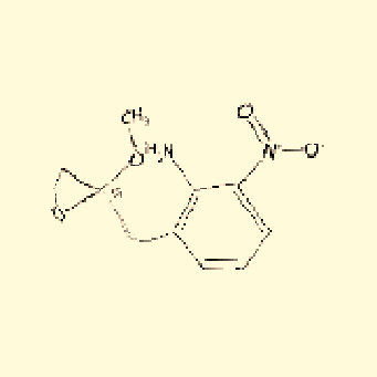 CO[C@]1(Cc2cccc([N+](=O)[O-])c2N)CO1